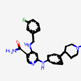 CN1CCC(c2ccc(Nc3cc(NCc4cccc(F)c4)c(C(N)=O)cn3)cc2)CC1